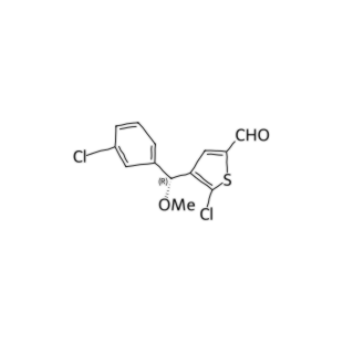 CO[C@H](c1cccc(Cl)c1)c1cc(C=O)sc1Cl